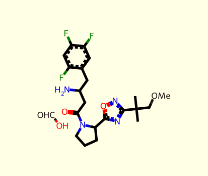 COCC(C)(C)c1noc(C2CCCN2C(=O)CC(N)Cc2cc(F)c(F)cc2F)n1.O=CO